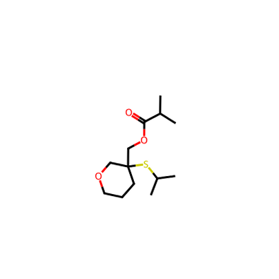 CC(C)SC1(COC(=O)C(C)C)CCCOC1